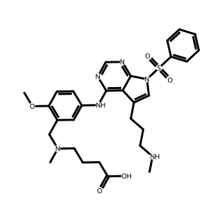 CNCCCc1cn(S(=O)(=O)c2ccccc2)c2ncnc(Nc3ccc(OC)c(CN(C)CCCC(=O)O)c3)c12